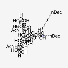 CCCCCCCCCCCCC/C=C/[C@@H](O)[C@H](CO[C@@H]1OC(CO)[C@@H](O[C@@H]2OC(CO[C@@H]3OC(CO)[C@@H](O[C@@H]4OC(CO)[C@H](O)[C@H](O)C4O)[C@H](O)C3NC(C)=O)[C@H](O)[C@H](O[C@H]3OC(CO)[C@H](O)[C@H](O[C@@H]4OC(CO)[C@H](O)[C@H](O)C4NC(C)=O)C3O)C2O)[C@H](O)C1O)NC(=O)CCCCCCCCCCCCCCCCCCCCCCC